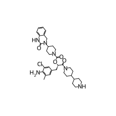 Cc1cc(C[C@@H](OC(=O)N2CCC(N3Cc4ccccc4NC3=O)CC2)C(=O)N2CCC(C3CCNCC3)CC2)cc(Cl)c1N